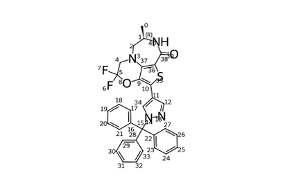 C[C@@H]1CN2CC(F)(F)Oc3c(-c4cnn(C(c5ccccc5)(c5ccccc5)c5ccccc5)c4)sc(c32)C(=O)N1